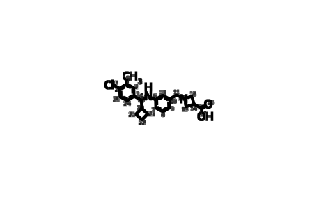 Cc1cc([C@@H](Nc2cccc(CN3CC(C(=O)O)C3)c2)C2CCC2)ccc1Cl